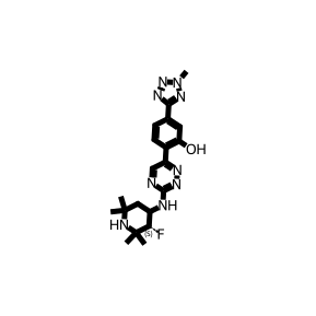 Cn1nnc(-c2ccc(-c3cnc(NC4CC(C)(C)NC(C)(C)[C@H]4F)nn3)c(O)c2)n1